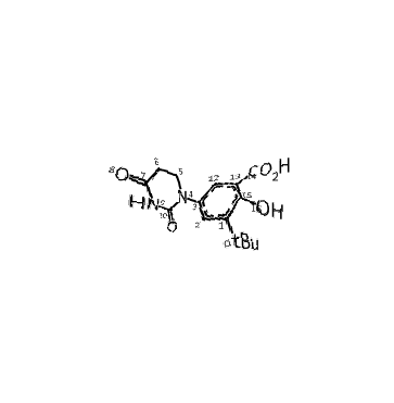 CC(C)(C)c1cc(N2CCC(=O)NC2=O)cc(C(=O)O)c1O